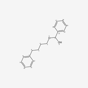 OC(OCCCCc1ccccc1)c1ccccc1